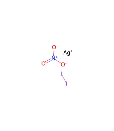 II.O=[N+]([O-])[O-].[Ag+]